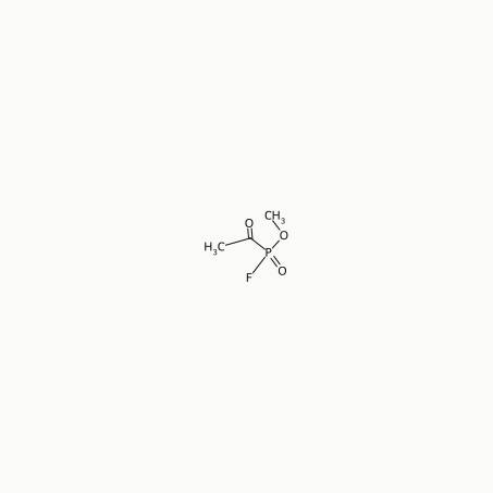 COP(=O)(F)C(C)=O